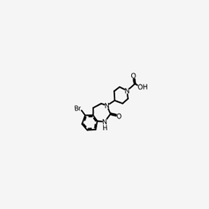 O=C(O)N1CCC(N2CCc3c(Br)cccc3NC2=O)CC1